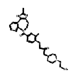 Cc1nc2c([nH]1)-c1ccccc1N(C(=O)c1ccc(CCC(=O)CC3CCN(CCC(C)(C)C)CC3)c(C)c1)CC2